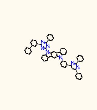 C1=Cc2c(c3cc4c(cc3n2-c2cccc(-c3cc(-c5ccccc5)nc(-c5ccccc5)n3)c2)c2ccccc2n4-c2nc(-c3ccccc3)nc(-c3cccc(-c4ccccc4)c3)n2)CC1